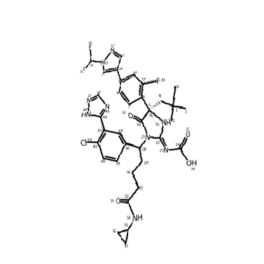 CC(C)(C)C[C@]1(c2ccc(-c3cnn(C(F)F)c3)cc2F)NC(=NC(=O)O)N(C(CCCC(=O)NC2CC2)c2ccc(Cl)c(-c3ncn[nH]3)c2)C1=O